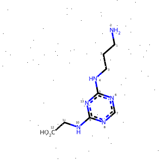 NCCCNc1ncnc(NCC(=O)O)n1